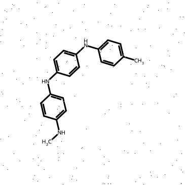 CNc1ccc(Nc2ccc(Nc3ccc(C)cc3)cc2)cc1